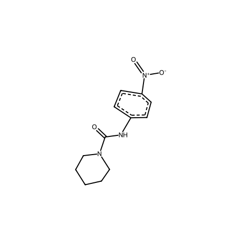 O=C(Nc1ccc([N+](=O)[O-])cc1)N1CCCCC1